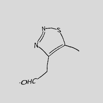 Cc1snnc1C[C]=O